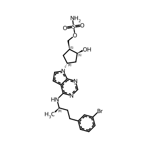 C[C@H](CCc1cccc(Br)c1)Nc1ncnc2c1ccn2[C@@H]1C[C@@H](COS(N)(=O)=O)[C@@H](O)C1